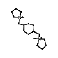 C[N+]1(CC2CCC(C[N+]3(C)CCCC3)CC2)CCCC1